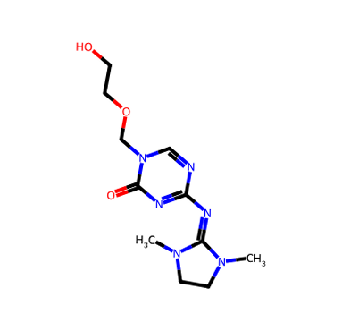 CN1CCN(C)C1=Nc1ncn(COCCO)c(=O)n1